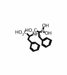 NC(Cc1ccccc1)C(=O)O.O=C(O)C(Cc1ccccc1)N(O)O